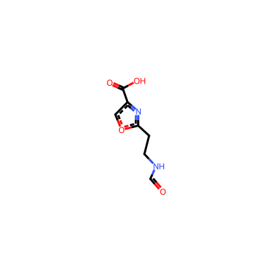 O=CNCCc1nc(C(=O)O)co1